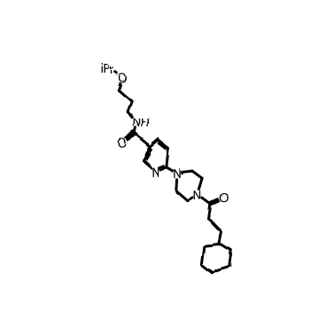 CC(C)OCCCNC(=O)c1ccc(N2CCN(C(=O)CCC3CCCCC3)CC2)nc1